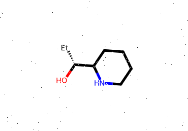 CC[C@@H](O)C1CCCCN1